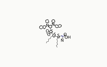 CCCCCCc1cc(/C=C(\C#N)C(=O)O)sc1-c1cc(CCCCCC)c(-c2sc(-c3cc(N(c4ccccc4)c4ccc5ccccc5c4)cc(N(c4ccccc4)c4ccc5ccccc5c4)c3)c3c2OCCO3)s1